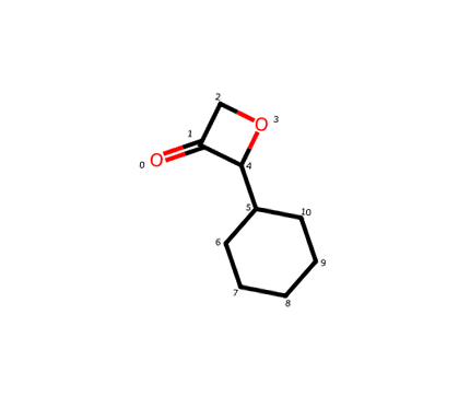 O=C1COC1C1CCCCC1